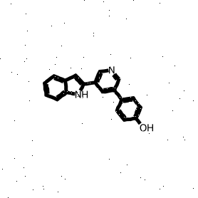 Oc1ccc(-c2cncc(-c3cc4ccccc4[nH]3)c2)cc1